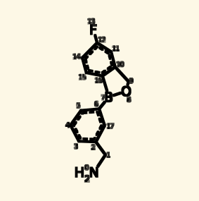 NCc1cccc(B2OCc3cc(F)ccc32)c1